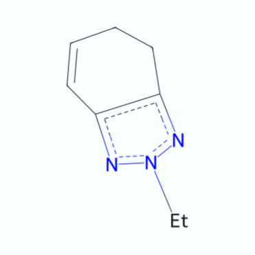 CCn1nc2c(n1)CCC=C2